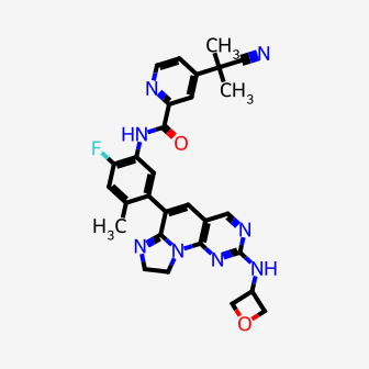 Cc1cc(F)c(NC(=O)c2cc(C(C)(C)C#N)ccn2)cc1C1=Cc2cnc(NC3COC3)nc2N2CCN=C12